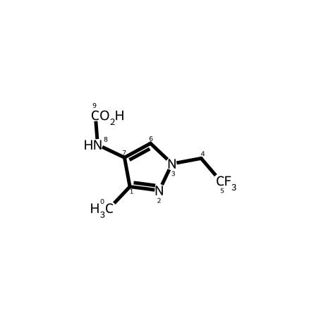 Cc1nn(CC(F)(F)F)cc1NC(=O)O